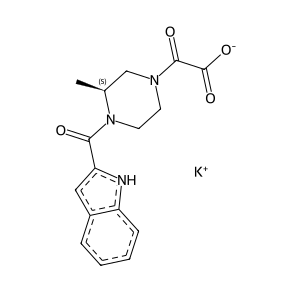 C[C@H]1CN(C(=O)C(=O)[O-])CCN1C(=O)c1cc2ccccc2[nH]1.[K+]